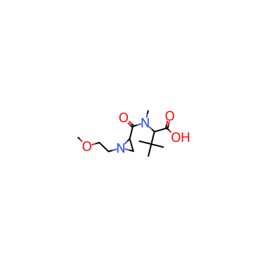 COCCN1CC1C(=O)N(C)C(C(=O)O)C(C)(C)C